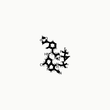 Cc1c(-c2cnco2)cccc1[C@H](Nc1cc(Cl)c2ncc(C#N)c(NCC(C)(C)C)c2c1)c1cn(C2(C(F)(F)F)CC2)nn1